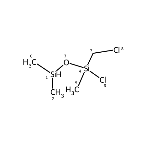 C[SiH](C)O[Si](C)(Cl)CCl